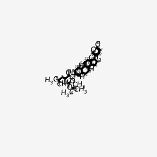 CC(C)CC(NC(=O)OC(C)(C)C)C(=O)O[C@H]1CC[C@@]2(C)[C@H](CC[C@@H]3[C@@H]2CC[C@]2(C)[C@@H](c4ccc(=O)oc4)CC[C@]32O)C1